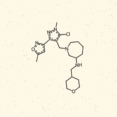 Cc1cc(-c2nn(C)c(Cl)c2CN2CCCCC(NCC3CCOCC3)C2)no1